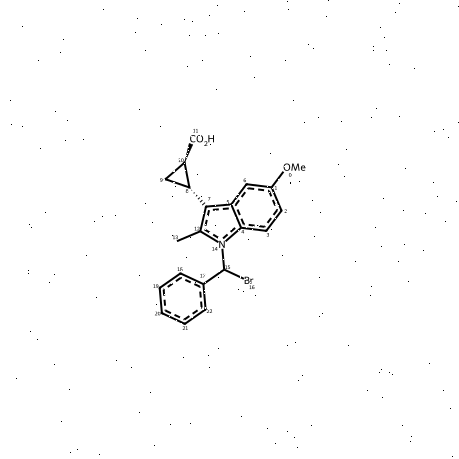 COc1ccc2c(c1)c([C@@H]1C[C@H]1C(=O)O)c(C)n2C(Br)c1ccccc1